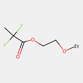 CCOCCOC(=O)C(C)(F)F